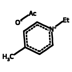 CC(=O)[O-].CC[n+]1ccc(C)cc1